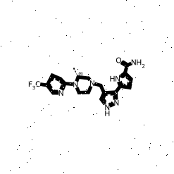 C[C@@H]1CN(Cc2c[nH]nc2-c2ccc(C(N)=O)[nH]2)CCN1c1ccc(C(F)(F)F)cn1